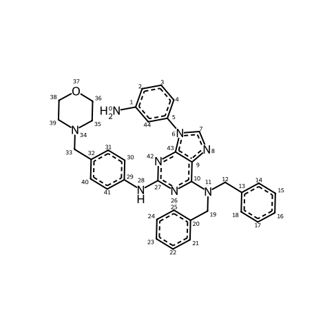 Nc1cccc(-n2cnc3c(N(Cc4ccccc4)Cc4ccccc4)nc(Nc4ccc(CN5CCOCC5)cc4)nc32)c1